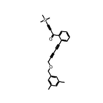 Cc1cc(C)cc(COCC#CC#Cc2ccccc2C(=O)C#C[Si](C)(C)C)c1